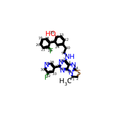 C[C@H]1CSc2nc3c(NCCc4ccc(O)c(-c5ccccc5F)c4)nc(-c4cncc(F)c4)nc3n21